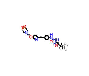 CC(C)c1cc(NC(=O)Nc2ccc(C#Cc3ccc(OCCN4CCS(=O)(=O)CC4)cn3)cc2)no1